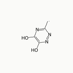 [CH2]c1nnc(O)c(O)n1